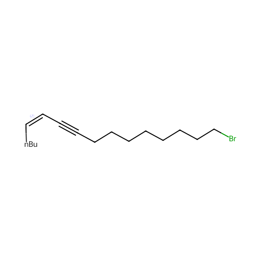 CCCC/C=C\C#CCCCCCCCCBr